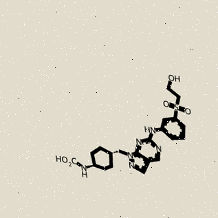 O=C(O)N[C@H]1CC[C@H](Cn2ncc3cnc(Nc4cccc(S(=O)(=O)CCO)c4)nc32)CC1